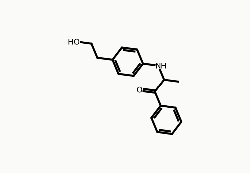 CC(Nc1ccc(CCO)cc1)C(=O)c1ccccc1